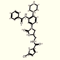 O=C(Nc1cc(N2CC(CNC(=O)c3ccc(Cl)s3)OC2=O)ccc1N1CCOCC1)c1ccccc1